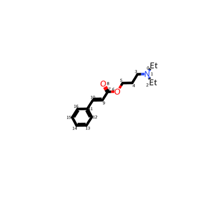 CCN(CC)CCCOC(=O)/C=C/c1ccccc1